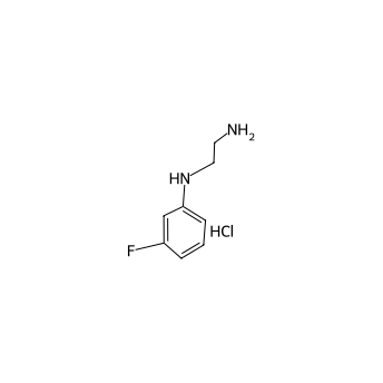 Cl.NCCNc1cccc(F)c1